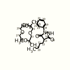 CC(O)COCC(C)O.CCCCC1C(=O)NN(c2ccccc2)C1=O.CCOCC